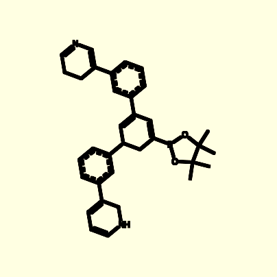 CC1(C)OB(C2=CC(c3cccc(C4=CN=CCC4)c3)=CC(c3cccc(C4=CC=CNC4)c3)C2)OC1(C)C